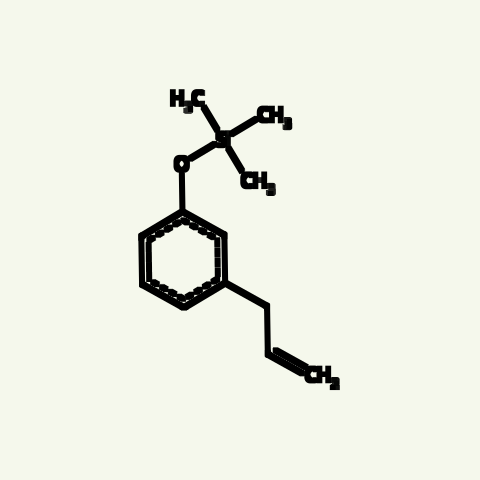 C=CCc1cccc(O[Si](C)(C)C)c1